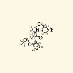 CC(C)(C)OC(=O)N[C@H](C(=O)N1CCCN1c1ccc(F)cc1Cl)c1ccccc1